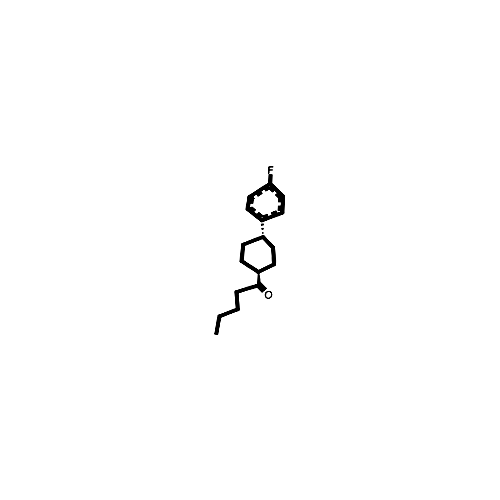 CCCCC(=O)[C@H]1CC[C@H](c2ccc(F)cc2)CC1